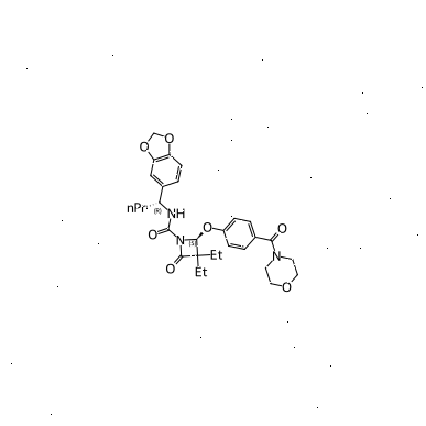 CCC[C@@H](NC(=O)N1C(=O)C(CC)(CC)[C@@H]1Oc1ccc(C(=O)N2CCOCC2)cc1)c1ccc2c(c1)OCO2